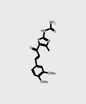 COc1ccc(C=CC(=O)c2sc(NC(N)=S)nc2C)cc1OC